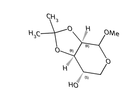 COC1OC[C@H](O)[C@H]2OC(C)(C)O[C@@H]12